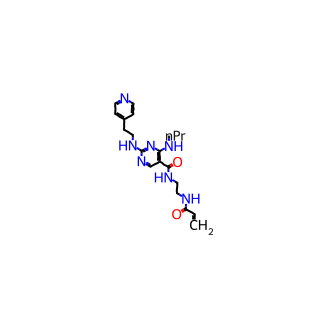 C=CC(=O)NCCNC(=O)c1cnc(NCCc2ccncc2)nc1NCCC